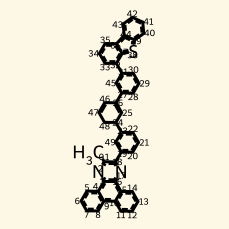 Cc1nc2c3ccccc3c3ccccc3c2nc1-c1cccc(C2C=C(c3cccc(-c4cccc5c4sc4ccccc45)c3)C=CC2)c1